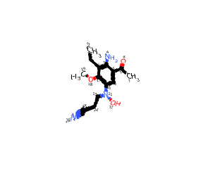 CCc1c(N)c(C(C)=O)cc(N(O)CCC#N)c1OC